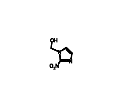 O=[N+]([O-])c1nccn1CO